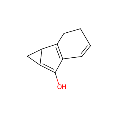 OC1=C2CC2C2=C1C=CCC2